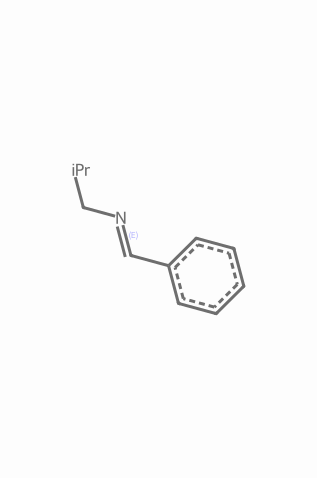 CC(C)C/N=C/c1ccccc1